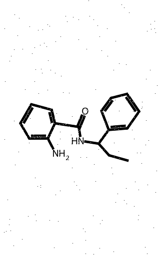 CCC(NC(=O)c1ccccc1N)c1ccccc1